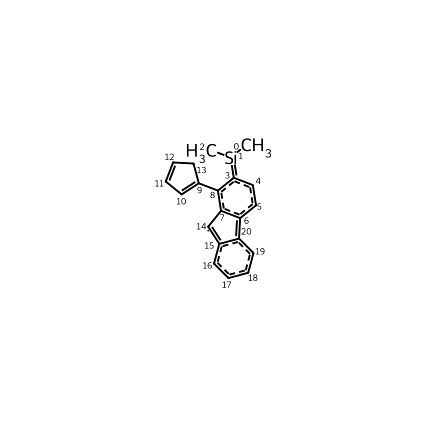 C[Si](C)=c1ccc2c(c1C1=CC=CC1)[C]=c1ccccc1=2